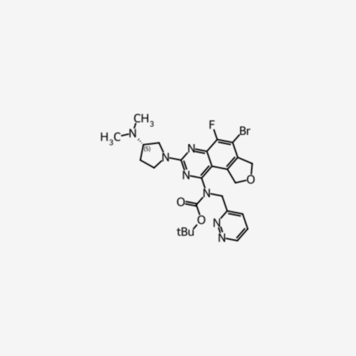 CN(C)[C@H]1CCN(c2nc(N(Cc3cccnn3)C(=O)OC(C)(C)C)c3c4c(c(Br)c(F)c3n2)COC4)C1